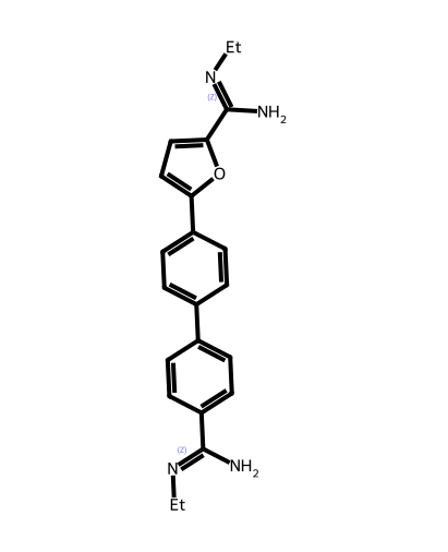 CC/N=C(\N)c1ccc(-c2ccc(-c3ccc(/C(N)=N/CC)o3)cc2)cc1